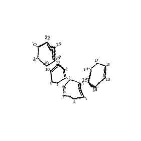 C1=CCC=CC1.C1=CCCC=C1.C1=CCCCC1.C1=CCCCC=1